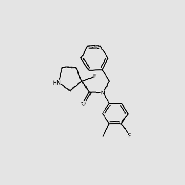 Cc1cc(N(Cc2ccccc2)C(=O)C2(F)CCNC2)ccc1F